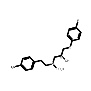 Nc1ccc(CCN(C[C@H](O)COc2ccc(F)cc2)C(=O)O)cc1